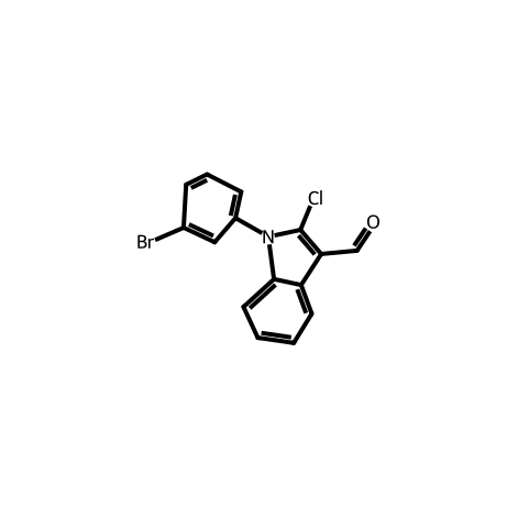 O=Cc1c(Cl)n(-c2cccc(Br)c2)c2ccccc12